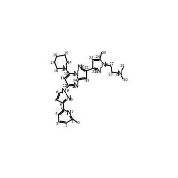 Cc1cccc(-c2ccn(-c3cc(N4CCCCC4)n4nc(-c5cc(C)n(CCN(C)C)n5)cc4n3)n2)n1